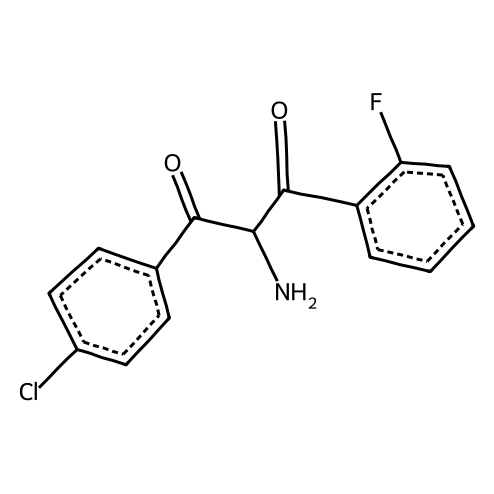 NC(C(=O)c1ccc(Cl)cc1)C(=O)c1ccccc1F